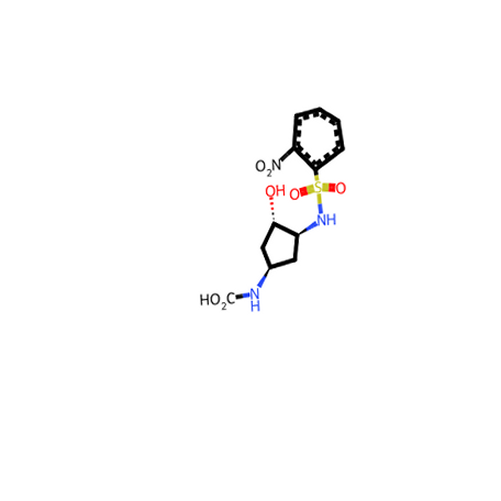 O=C(O)N[C@@H]1C[C@H](NS(=O)(=O)c2ccccc2[N+](=O)[O-])[C@@H](O)C1